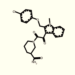 Cn1c(COc2ccc(Cl)cc2)c(C(=O)C(=O)N2CCCC(C(N)=O)C2)c2ccccc21